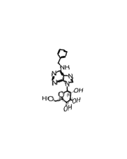 OC[C@H]1OC(n2cnc3c(NCc4ccccc4)ncnc32)[C@H](O)[C@@H](O)[C@@H]1O